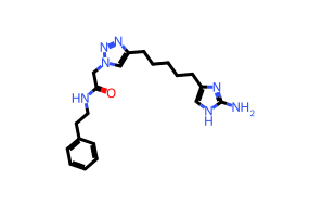 Nc1nc(CCCCCc2cn(CC(=O)NCCc3ccccc3)nn2)c[nH]1